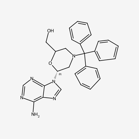 Nc1ncnc2c1ncn2[C@H]1CN(C(c2ccccc2)(c2ccccc2)c2ccccc2)CC(CO)O1